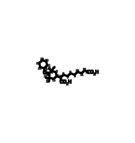 CC1(C)CC(C(CCCCCCCC(=O)O)C(=O)O)CC(C)(C)N1OC1CCCCC1